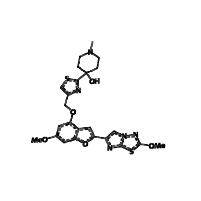 COc1cc(OCc2csc(C3(O)CCN(C)CC3)n2)c2cc(-c3cn4nc(OC)sc4n3)oc2c1